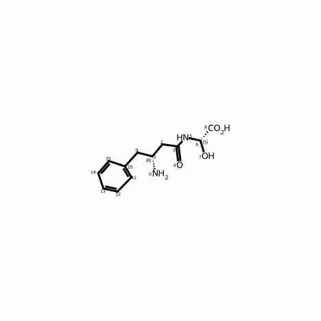 N[C@@H](CC(=O)N[C@@H](O)C(=O)O)Cc1ccccc1